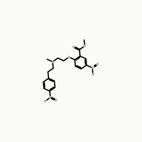 COC(=O)c1cc([N+](=O)[O-])ccc1OCCN(C)CCc1ccc([N+](=O)[O-])cc1